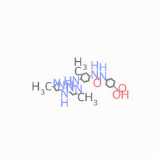 Cc1cc(Nc2cc(C)nc(Nc3ccc(NC(=O)Nc4ccc(C(=O)O)cc4)cc3C)n2)[nH]n1